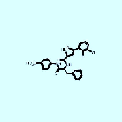 O=C(O)c1ccc(NC(=O)[C@H](Cc2ccccc2)NC(=O)c2cc(-c3cccc(Cl)c3F)n[nH]2)cc1